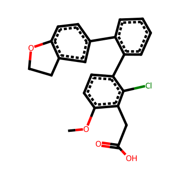 COc1ccc(-c2ccccc2-c2ccc3c(c2)CCO3)c(Cl)c1CC(=O)O